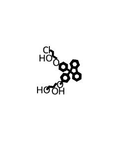 OCC(O)COc1ccc(C2(c3ccc(OCC(O)CCl)cc3)c3ccccc3-c3ccccc32)cc1